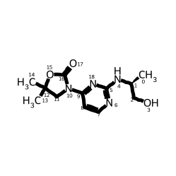 C[C@@H](CO)Nc1nccc(N2CC(C)(C)OC2=O)n1